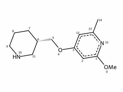 COc1cc(OC[C@H]2CCCNC2)cc(C)n1